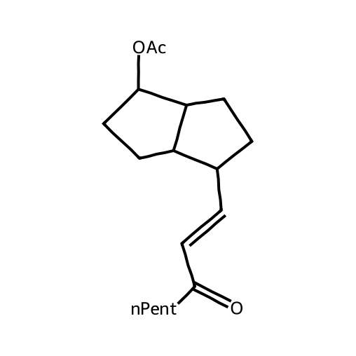 CCCCCC(=O)C=CC1CCC2C(OC(C)=O)CCC12